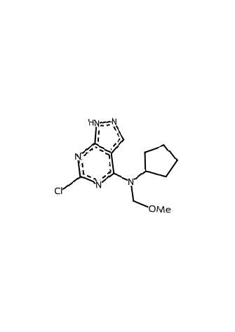 COCN(c1nc(Cl)nc2[nH]ncc12)C1CCCC1